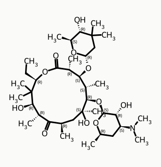 CC[C@H]1OC(=O)[C@H](C)[C@@H](O[C@H]2CC(C)(C)[C@@H](O)[C@H](C)O2)[C@H](C)[C@@H](O[C@@H]2O[C@H](C)C[C@H](N(C)C)[C@H]2O)[C@@](C)(O)C[C@@H](C)C(=O)[C@H](C)[C@@H](O)C1(C)C